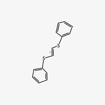 C(=C\Sc1ccccc1)/Sc1ccccc1